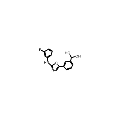 OC(O)c1cccc(-c2cnc(Nc3cccc(F)c3)o2)c1